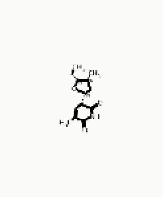 CC[C@H]1O[C@@H](C2C=C(C)C(=O)NC2=O)C[C@H]1C